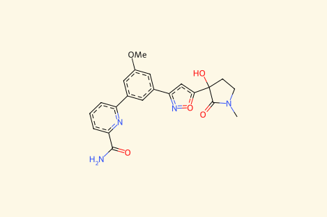 COc1cc(-c2cc(C3(O)CCN(C)C3=O)on2)cc(-c2cccc(C(N)=O)n2)c1